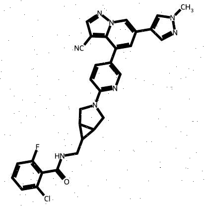 Cn1cc(-c2cc(-c3ccc(N4CC5C(CNC(=O)c6c(F)cccc6Cl)C5C4)nc3)c3c(C#N)cnn3c2)cn1